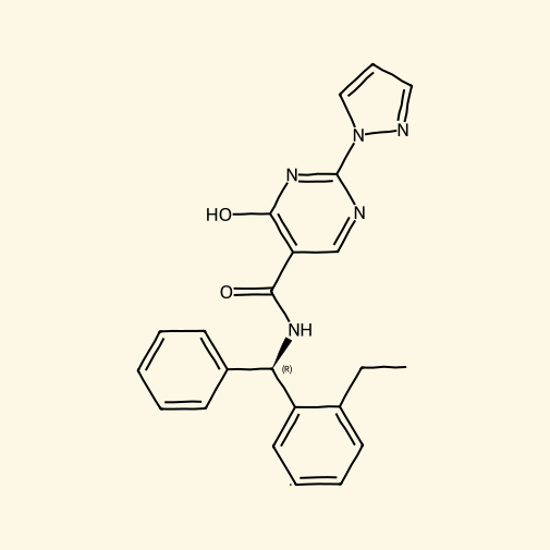 CCc1cc[c]cc1[C@H](NC(=O)c1cnc(-n2cccn2)nc1O)c1ccccc1